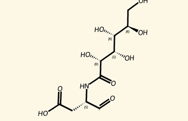 O=[C][C@H](CC(=O)O)NC(=O)[C@H](O)[C@@H](O)[C@H](O)[C@H](O)CO